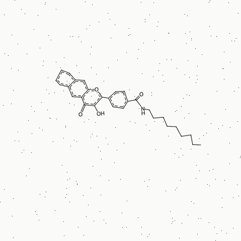 CCCCCCCCCNC(=O)c1ccc(-c2oc3cc4ccccc4cc3c(=O)c2O)cc1